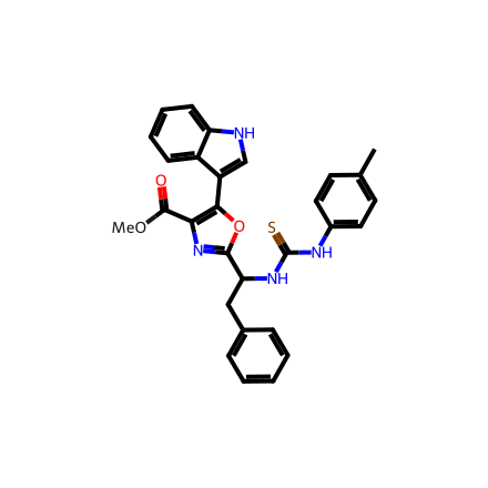 COC(=O)c1nc(C(Cc2ccccc2)NC(=S)Nc2ccc(C)cc2)oc1-c1c[nH]c2ccccc12